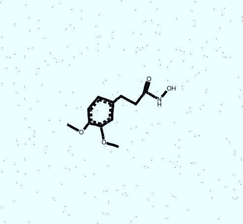 COc1ccc(CCC(=O)NO)cc1OC